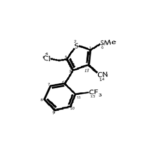 CSc1sc(Cl)c(-c2ccccc2C(F)(F)F)c1C#N